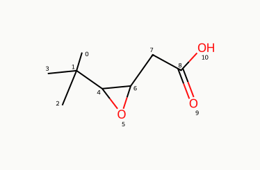 CC(C)(C)C1OC1CC(=O)O